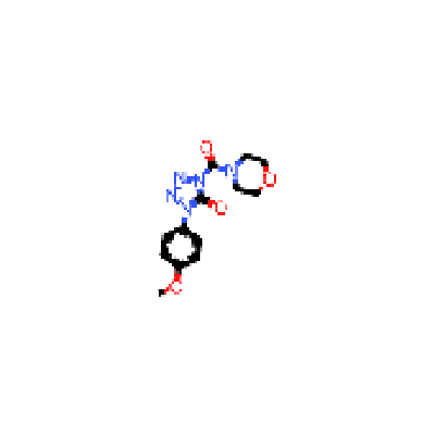 COc1ccc(-n2nnn(C(=O)N3CCOCC3)c2=O)cc1